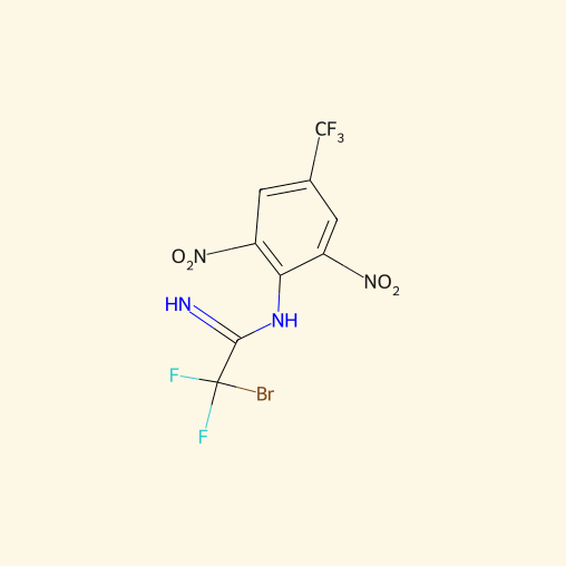 N=C(Nc1c([N+](=O)[O-])cc(C(F)(F)F)cc1[N+](=O)[O-])C(F)(F)Br